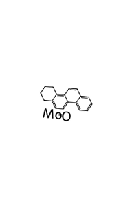 [O]=[Mo].c1ccc2c(c1)ccc1c3c(ccc12)CCCC3